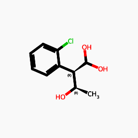 C[C@@H](O)[C@@H](c1ccccc1Cl)C(O)O